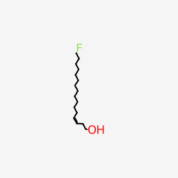 OCC/C=C\CCCCCCCCCCCCF